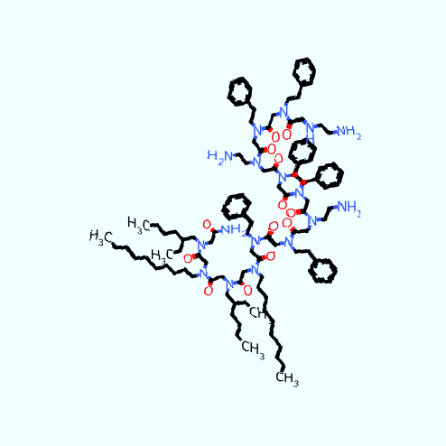 CCCCCCCCCCN(CC(=O)N(CC(=O)N(CCCCCCCCCC)CC(=O)N(CC(N)=O)CC(CC)CCCC)CC(CC)CCCC)C(=O)CN(CCc1ccccc1)C(=O)CN(CCc1ccccc1)C(=O)CN(CCN)C(=O)CN(CCc1ccccc1)C(=O)CN(CCc1ccccc1)C(=O)CN(CCN)C(=O)CN(CCc1ccccc1)C(=O)CN(CCc1ccccc1)C(=O)CNCCN